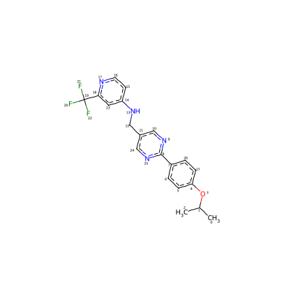 CC(C)Oc1ccc(-c2ncc(CNc3ccnc(C(F)(F)F)c3)cn2)cc1